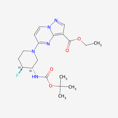 CCOC(=O)c1cnn2ccc(N3CC[C@H](F)[C@@H](NC(=O)OC(C)(C)C)C3)nc12